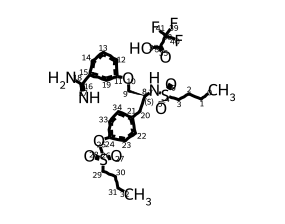 CCCCS(=O)(=O)N[C@H](COc1cccc(C(=N)N)c1)Cc1ccc(OS(=O)(=O)CCCC)cc1.O=C(O)C(F)(F)F